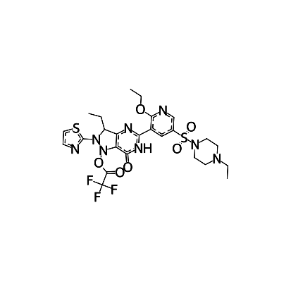 CCOc1ncc(S(=O)(=O)N2CCN(CC)CC2)cc1-c1nc2c(c(=O)[nH]1)N(OC(=O)C(F)(F)F)N(c1nccs1)C2CC